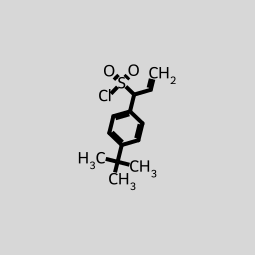 C=CC(c1ccc(C(C)(C)C)cc1)S(=O)(=O)Cl